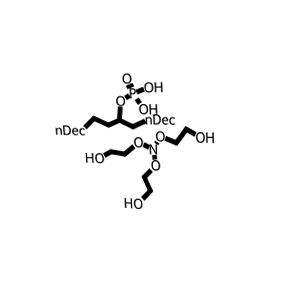 CCCCCCCCCCCCC(CCCCCCCCCCC)OP(=O)(O)O.OCCON(OCCO)OCCO